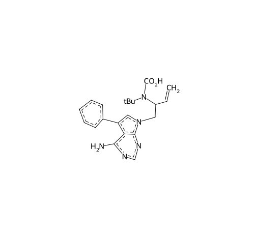 C=CC(Cn1cc(-c2ccccc2)c2c(N)ncnc21)N(C(=O)O)C(C)(C)C